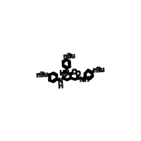 CCCCc1ccc(NC(=O)CC(CC(=O)Nc2ccc(CCCC)cc2)C(=O)Nc2ccc(CCCC)cc2)cc1